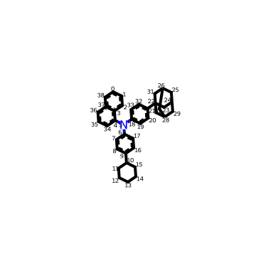 c1ccc2c(N(c3ccc(C4CCCCC4)cc3)c3ccc(C45CC6CC(CC(C6)C4)C5)cc3)cccc2c1